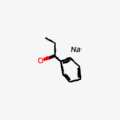 CCC(=O)c1ccccc1.[Na]